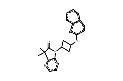 CC1(C)C(=O)N(C2CC(Nc3ccc4ccccc4n3)C2)c2nccnc21